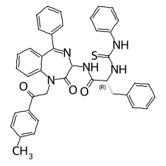 Cc1ccc(C(=O)CN2C(=O)C(NC(=O)[C@@H](Cc3ccccc3)NC(=S)Nc3ccccc3)N=C(c3ccccc3)c3ccccc32)cc1